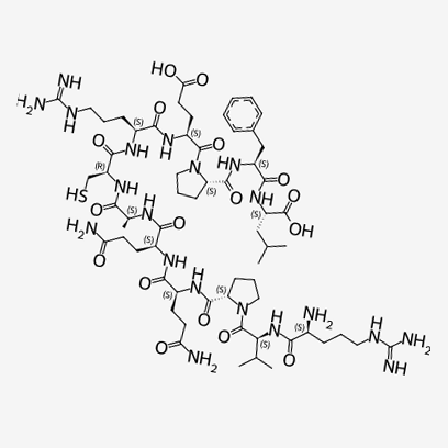 CC(C)C[C@H](NC(=O)[C@H](Cc1ccccc1)NC(=O)[C@@H]1CCCN1C(=O)[C@H](CCC(=O)O)NC(=O)[C@H](CCCNC(=N)N)NC(=O)[C@H](CS)NC(=O)[C@H](C)NC(=O)[C@H](CCC(N)=O)NC(=O)[C@H](CCC(N)=O)NC(=O)[C@@H]1CCCN1C(=O)[C@@H](NC(=O)[C@@H](N)CCCNC(=N)N)C(C)C)C(=O)O